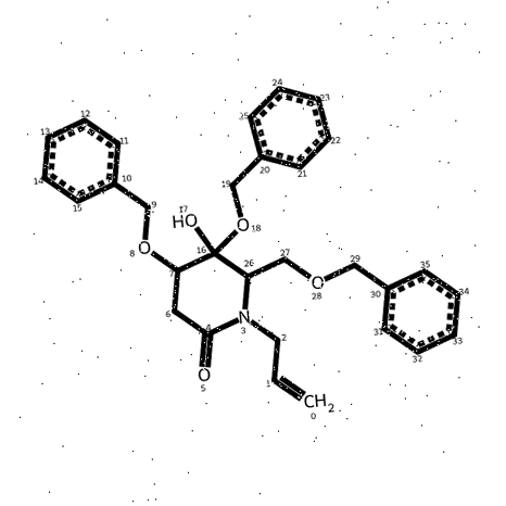 C=CCN1C(=O)CC(OCc2ccccc2)C(O)(OCc2ccccc2)C1COCc1ccccc1